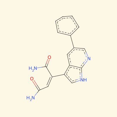 NC(=O)C=C(C(N)=O)c1c[nH]c2ncc(-c3ccccc3)cc12